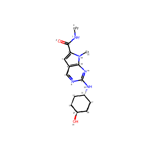 CCCNC(=O)c1cc2cnc(N[C@H]3CC[C@H](O)CC3)nc2n1CC